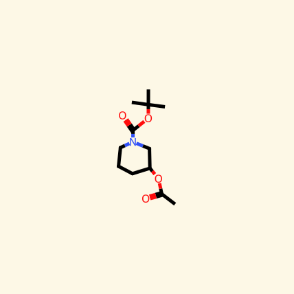 CC(=O)OC1CCCN(C(=O)OC(C)(C)C)C1